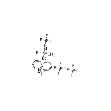 C1=C[NH2+]C2(C=C1)C=CC=C[NH2+]2.CC[N+](C)(CC)CC.F[B-](F)(F)F.F[B-](F)(F)F.F[B-](F)(F)F